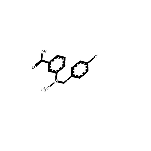 CN(Cc1ccc(Cl)cc1)c1cccc(C(=O)O)c1